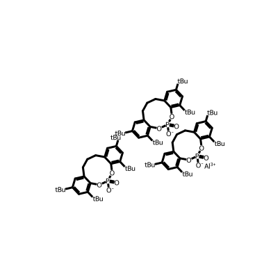 CC(C)(C)c1cc2c(c(C(C)(C)C)c1)OP(=O)([O-])Oc1c(cc(C(C)(C)C)cc1C(C)(C)C)CCC2.CC(C)(C)c1cc2c(c(C(C)(C)C)c1)OP(=O)([O-])Oc1c(cc(C(C)(C)C)cc1C(C)(C)C)CCC2.CC(C)(C)c1cc2c(c(C(C)(C)C)c1)OP(=O)([O-])Oc1c(cc(C(C)(C)C)cc1C(C)(C)C)CCC2.[Al+3]